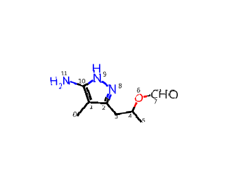 Cc1c(CC(C)OC=O)n[nH]c1N